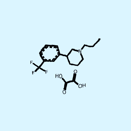 CCCN1CCCC(c2cccc(C(F)(F)F)c2)C1.O=C(O)C(=O)O